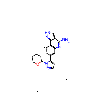 Nc1nc2cc(-c3ccnn3C3CCCCO3)ccc2c2n[nH]cc12